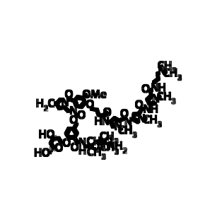 C=C1CC2CN(C(=O)OCc3ccc(O[C@H]4C[C@@H](O)C[C@@H](CO)O4)c(C(=O)NCC(C)(C)OCC(C)(C)ON)c3)c3cc(OCCCC(=O)Nc4cc(C(=O)Nc5cc(C(=O)Nc6cc(C(=O)NCCCN(C)C)n(C)c6)n(C)c5)n(C)c4)c(OC)cc3C(=O)N2C1